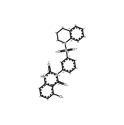 O=c1[nH]c2cccc(Cl)c2c(=O)n1-c1cccc(S(=O)(=O)N2CCCc3ccccc32)c1